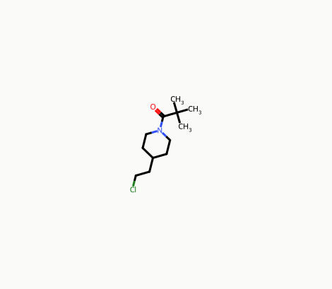 CC(C)(C)C(=O)N1CCC(CCCl)CC1